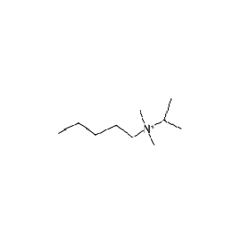 CCCCC[N+](C)(C)C(C)C